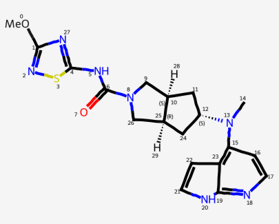 COc1nsc(NC(=O)N2C[C@H]3C[C@H](N(C)c4ccnc5[nH]ccc45)C[C@H]3C2)n1